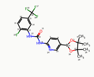 CC1(C)OB(c2ccc(NC(=O)Nc3cc(C(F)(F)F)ccc3F)nc2)OC1(C)C